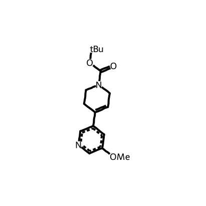 COc1cncc(C2=CCN(C(=O)OC(C)(C)C)CC2)c1